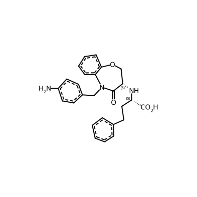 Nc1ccc(CN2C(=O)[C@@H](N[C@@H](CCc3ccccc3)C(=O)O)COc3ccccc32)cc1